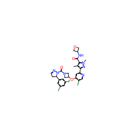 Cc1c(-c2cc(OC3CN(C(=O)N4N=CCC4c4cc(F)cc(F)c4)C3)c(F)cn2)nn(C)c1C(=O)NC1COC1